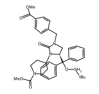 COC(=O)c1ccc(CN2C[C@@H](C(O[SiH2]C(C)(C)C)(c3ccccc3)c3ccccc3)N(C3CCN(C(=O)OC)CC3)C2=O)cc1